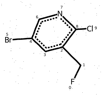 FCc1cc(Br)cnc1Cl